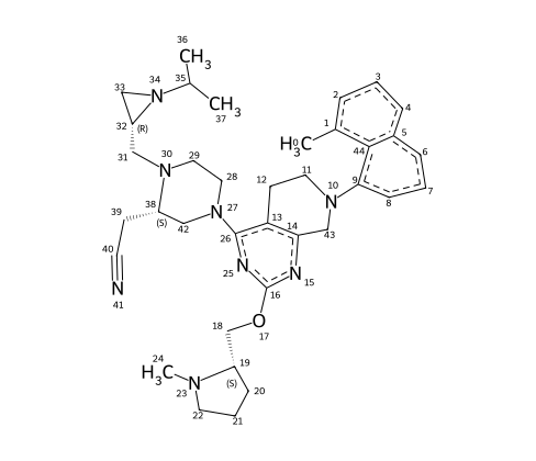 Cc1cccc2cccc(N3CCc4c(nc(OC[C@@H]5CCCN5C)nc4N4CCN(C[C@@H]5CN5C(C)C)[C@@H](CC#N)C4)C3)c12